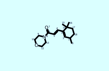 CC1C=C(C=CC(=O)N2CCOCC2)C(C)(C)CC1